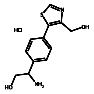 Cl.NC(CO)c1ccc(-c2scnc2CO)cc1